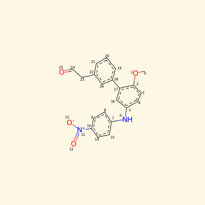 COc1ccc(Nc2ccc([N+](=O)[O-])cc2)cc1-c1cccc(CC=O)c1